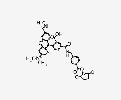 CNCc1ccc2c(-c3ccc(C(=O)NCc4ccc(C(=O)ON5C(=O)CCC5=O)cc4)cc3C(=O)O)c3ccc(=[N+](C)C)cc-3oc2c1